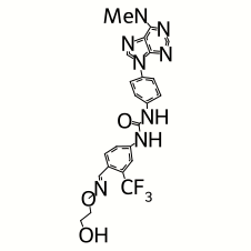 CNc1ncnc2c1ncn2-c1ccc(NC(=O)Nc2ccc(/C=N/OCCO)c(C(F)(F)F)c2)cc1